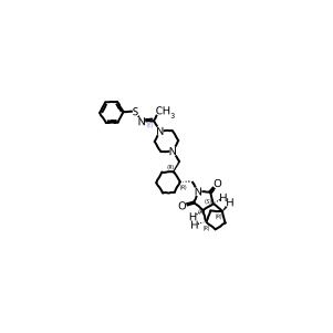 C/C(=N\Sc1ccccc1)N1CCN(C[C@@H]2CCCC[C@H]2CN2C(=O)[C@@H]3[C@@H]4CC[C@H](C4)[C@@H]3C2=O)CC1